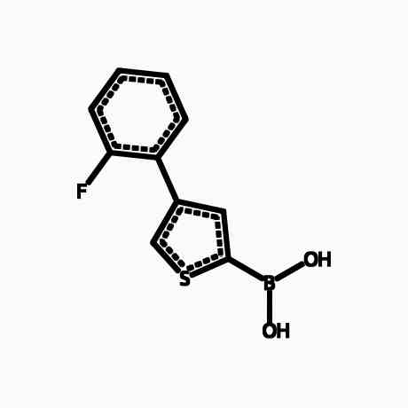 OB(O)c1cc(-c2ccccc2F)cs1